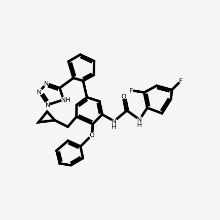 O=C(Nc1ccc(F)cc1F)Nc1cc(-c2ccccc2-c2nnn[nH]2)cc(CC2CC2)c1Oc1ccccc1